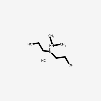 CNC.Cl.OCCNCCO